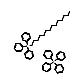 CCCCCCCCCCCCCC[P+](c1ccccc1)(c1ccccc1)c1ccccc1.c1ccc([B-](c2ccccc2)(c2ccccc2)c2ccccc2)cc1